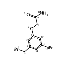 CC(C)Cc1cc(OCC(N)=O)cc(C(C)C)c1